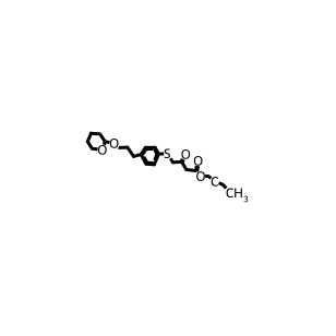 CCCCOC(=O)CC(=O)CSc1ccc(CCCOC2CCCCO2)cc1